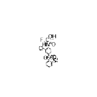 C[S+]([O-])c1ccccc1S(=O)(=O)c1ccc(NC(=O)C(C)(O)C(F)(F)F)c(Cl)c1